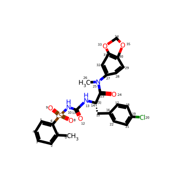 Cc1ccccc1S(=O)(=O)NC(=O)N[C@@H](Cc1ccc(Cl)cc1)C(=O)N(C)c1ccc2c(c1)OCO2